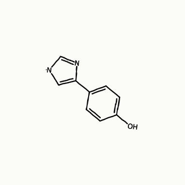 Oc1ccc(C2=C[N]C=N2)cc1